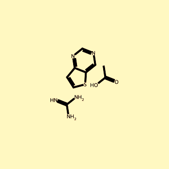 CC(=O)O.N=C(N)N.c1ncc2sccc2n1